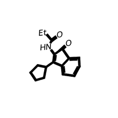 CCC(=O)NC1=C(C2CCCC2)c2ccccc2C1=O